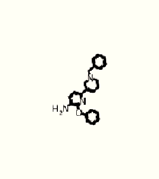 Nc1ccc(C2=CCCN(Cc3ccccc3)C2)nc1Oc1ccccc1